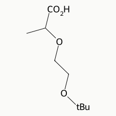 CC(OCCOC(C)(C)C)C(=O)O